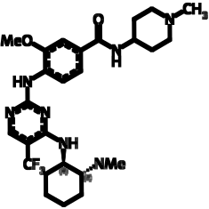 CN[C@@H]1CCCC[C@H]1Nc1nc(Nc2ccc(C(=O)NC3CCN(C)CC3)cc2OC)ncc1C(F)(F)F